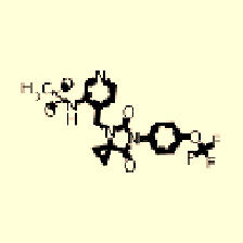 CS(=O)(=O)Nc1cnccc1CN1C(=O)N(c2ccc(OC(F)(F)F)cc2)C(=O)C12CC2